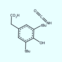 CC(C)(C)c1cc(CC(=O)O)cc(C(C)(C)C)c1O.N=C=O